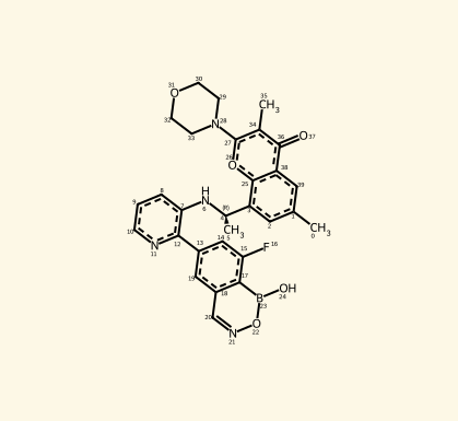 Cc1cc([C@@H](C)Nc2cccnc2-c2cc(F)c3c(c2)C=NOB3O)c2oc(N3CCOCC3)c(C)c(=O)c2c1